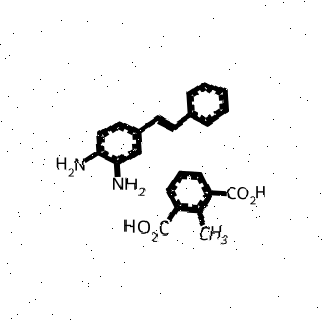 Cc1c(C(=O)O)cccc1C(=O)O.Nc1ccc(C=Cc2ccccc2)cc1N